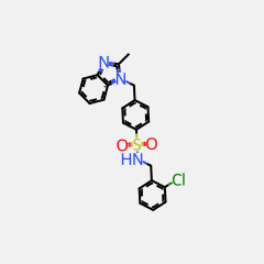 Cc1nc2ccccc2n1Cc1ccc(S(=O)(=O)NCc2ccccc2Cl)cc1